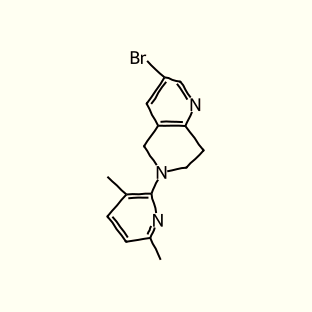 Cc1ccc(C)c(N2CCc3ncc(Br)cc3C2)n1